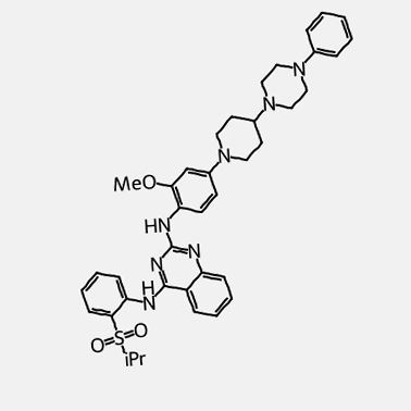 COc1cc(N2CCC(N3CCN(c4ccccc4)CC3)CC2)ccc1Nc1nc(Nc2ccccc2S(=O)(=O)C(C)C)c2ccccc2n1